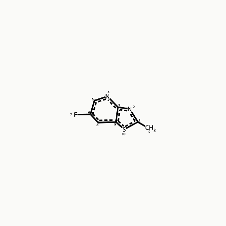 Cc1nc2ncc(F)cc2s1